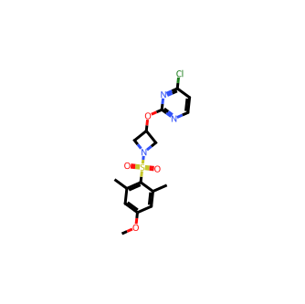 COc1cc(C)c(S(=O)(=O)N2CC(Oc3nccc(Cl)n3)C2)c(C)c1